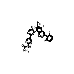 CC1(C)[C@H]2CC[C@]1(c1ccnc(-c3cnc(NC(N)=O)nc3)n1)c1nnc(-c3c(F)cccc3F)cc12